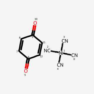 N#[C][Ni]([C]#N)([C]#N)[C]#N.O=C1C=CC(=O)C=C1